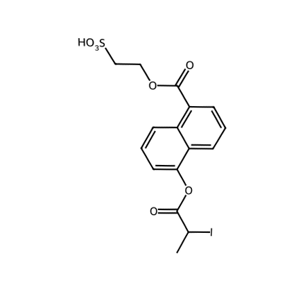 CC(I)C(=O)Oc1cccc2c(C(=O)OCCS(=O)(=O)O)cccc12